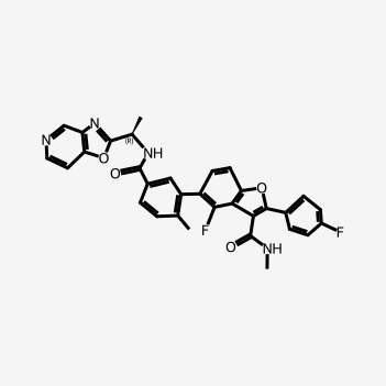 CNC(=O)c1c(-c2ccc(F)cc2)oc2ccc(-c3cc(C(=O)N[C@H](C)c4nc5cnccc5o4)ccc3C)c(F)c12